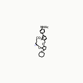 CC(=O)Nc1ccc(-c2ccc(CO[C@@H]3CC[C@H](N4CCCCCC4)[C@H]3OC/C=C\CCC(=O)O)cc2)cc1